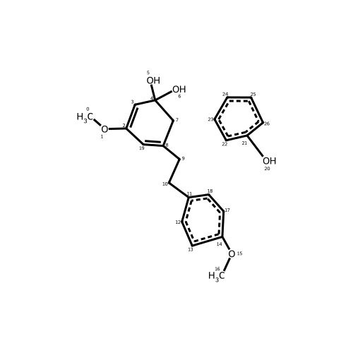 COC1=CC(O)(O)CC(CCc2ccc(OC)cc2)=C1.Oc1ccccc1